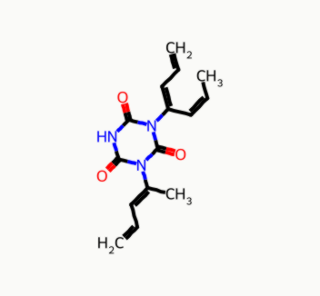 C=C/C=C(\C)n1c(=O)[nH]c(=O)n(C(/C=C\C)=C/C=C)c1=O